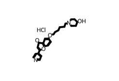 Cl.O=c1cc(-c2ccncc2)oc2ccc(OCCCCCCN3CCC(O)CC3)cc12